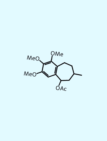 COc1cc2c(c(OC)c1OC)CCC(C)CC2OC(C)=O